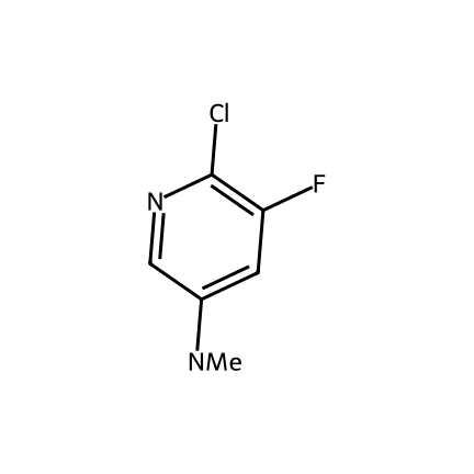 CNc1cnc(Cl)c(F)c1